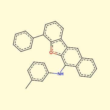 Cc1cccc(Nc2c3ccccc3cc3c2oc2c(-c4ccccc4)cccc23)c1